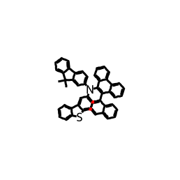 CC1(C)c2ccccc2-c2ccc(N(c3ccc4sc5ccccc5c4c3)c3c(-c4cccc5ccccc45)c4ccccc4c4ccccc34)cc21